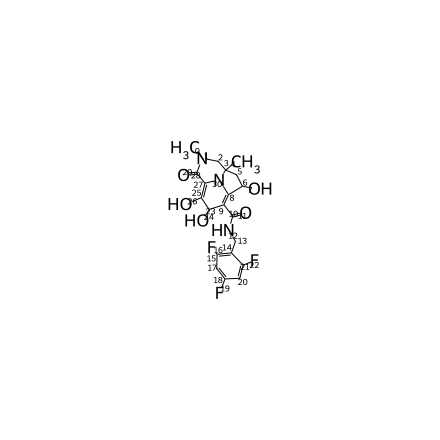 CN1CC2(C)CC(O)C3=C(C(=O)NCc4c(F)cc(F)cc4F)C(O)C(O)=C(C1=O)N32